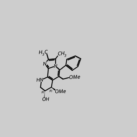 COCc1c2c(c3nc(C)c(C)n3c1-c1ccccc1)NC[C@@H](O)[C@@H]2OC